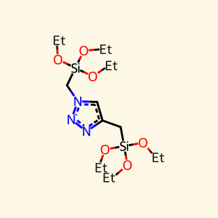 CCO[Si](Cc1cn(C[Si](OCC)(OCC)OCC)nn1)(OCC)OCC